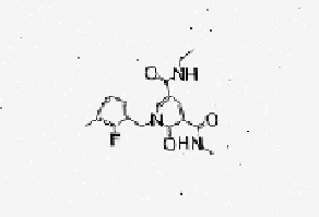 CCNC(=O)c1cc(C(=O)NC)c(=O)n(Cc2cccc(C)c2F)c1